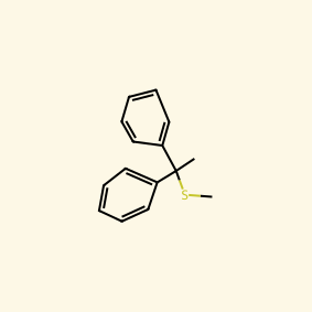 CSC(C)(c1ccccc1)c1ccccc1